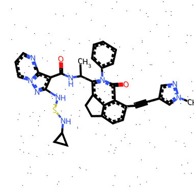 CC(NC(=O)c1c(NSNC2CC2)nn2cccnc12)c1c2c3c(ccc(C#Cc4cnn(C)c4)c3c(=O)n1-c1ccccc1)CC2